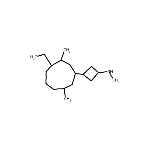 CCC1CCCC(C)CC(C2CC(NC)C2)CC1C